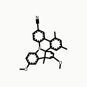 COC1=CC2(C)c3cc(OC)ccc3N3c4ccc(C#N)cc4-c4c(C)cc(C)cc4C32C=C1